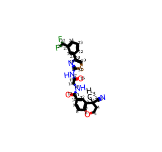 C[C@@]1(C#N)CCOc2ccc(C(=O)NCC(=O)Nc3nc(-c4cccc(C(F)F)c4)cs3)cc21